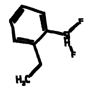 CCc1ccccc1[SiH](F)F